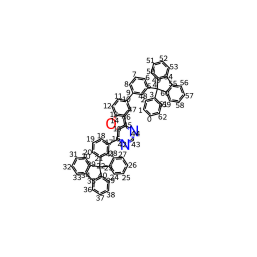 c1ccc(C2(c3cccc(-c4ccc5oc6c(-c7cccc(C8(c9ccccc9)c9ccccc9-c9ccccc98)c7)ncnc6c5c4)c3)c3ccccc3-c3ccccc32)cc1